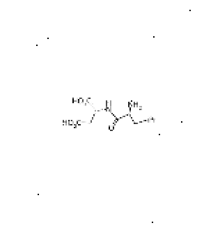 CC(C)C[C@H](N)C(=O)N[C@H](CC(=O)O)C(=O)O